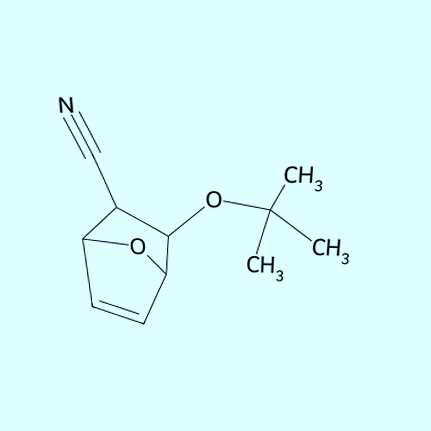 CC(C)(C)OC1C2C=CC(O2)C1C#N